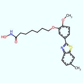 COc1ccc(-c2nc3ccc(C)cc3s2)cc1OCCCCCCC(=O)NO